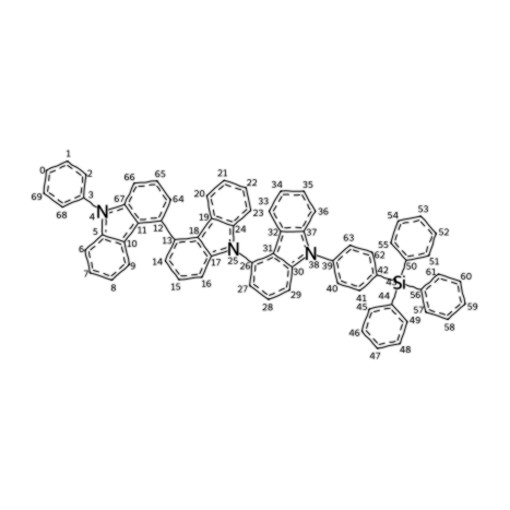 c1ccc(-n2c3ccccc3c3c(-c4cccc5c4c4ccccc4n5-c4cccc5c4c4ccccc4n5-c4ccc([Si](c5ccccc5)(c5ccccc5)c5ccccc5)cc4)cccc32)cc1